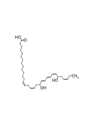 CC/C=C\CC(O)\C=C/C=C/C=C/C(O)C/C=C\C/C=C\CCCCCCCCCCCCC(=O)O